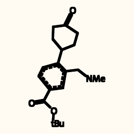 CNCc1cc(C(=O)OC(C)(C)C)ccc1C1CCC(=O)CC1